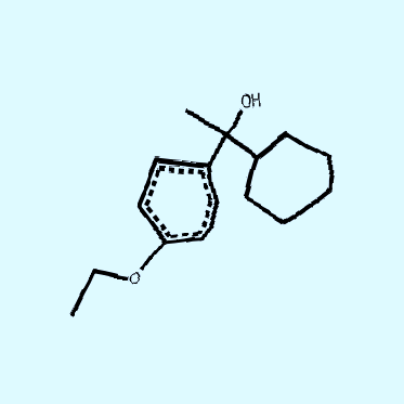 CCOc1ccc(C(C)(O)C2CCCCC2)cc1